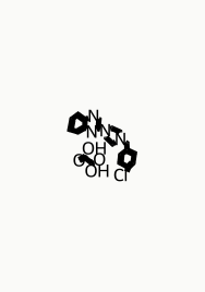 Clc1ccc(CN2CCN(c3cnc4ccccc4n3)CC2)cc1.O=C(O)C(=O)O